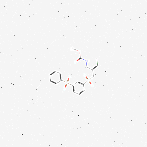 CC(C)(C)OC(=O)NC/C(=C\F)CS(=O)(=O)c1cccc(S(=O)(=O)c2ccccc2)c1